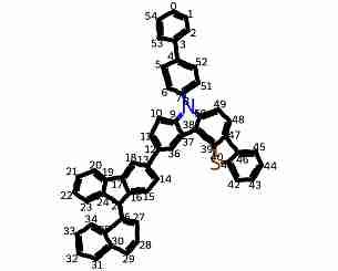 c1ccc(-c2ccc(-n3c4ccc(-c5ccc6c(c5)-c5ccccc5C6c5cccc6ccccc56)cc4c4c5sc6ccccc6c5ccc43)cc2)cc1